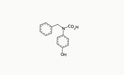 O=C(O)N(Cc1ccccc1)c1ccc(O)cc1